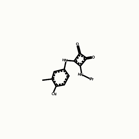 Cc1cc(Nc2c(NC(C)C)c(=O)c2=O)ccc1C#N